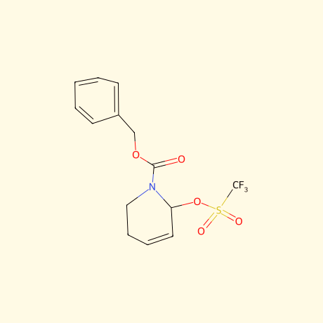 O=C(OCc1ccccc1)N1CCC=CC1OS(=O)(=O)C(F)(F)F